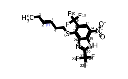 CC/C=C/CCSc1c(C(F)(F)F)cc([N+](=O)[O-])c2[nH]c(C(F)(F)F)nc12